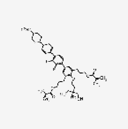 C=C(C)C(=O)OCCCc1cc(-c2ccc(C3=CCC(C4CCC(CCCCC)CC4)C=C3)c(F)c2F)cc(CCCOC(=O)C(=C)C)c1OCCC(CO)(CO)CCC